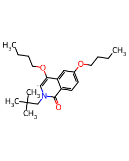 CCCCOc1ccc2c(=O)n(CC(C)(C)C)[c]c(OCCCC)c2c1